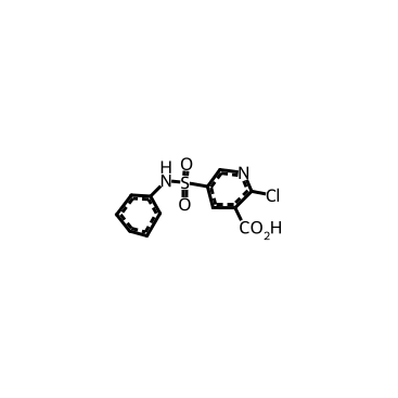 O=C(O)c1cc(S(=O)(=O)Nc2ccccc2)cnc1Cl